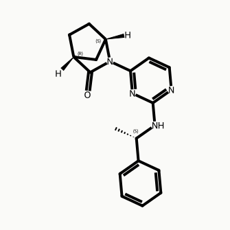 C[C@H](Nc1nccc(N2C(=O)[C@@H]3CC[C@H]2C3)n1)c1ccccc1